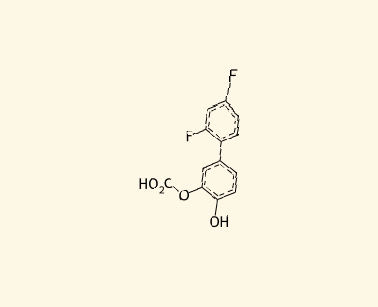 O=C(O)Oc1cc(-c2ccc(F)cc2F)ccc1O